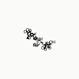 CC1C(SCCSC(=S)NC2CCN(c3c(F)cc4c(=O)c(C(=O)[O-])cn(C5CC5)c4c3F)C2)=C(C(=O)[O-])N2C(=O)[C@@H]([C@@H](C)O)[C@H]12.[Na+].[Na+]